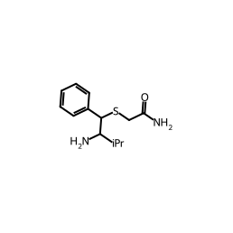 CC(C)C(N)C(SCC(N)=O)c1ccccc1